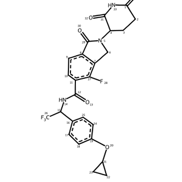 O=C1CCC(N2Cc3c(ccc(C(=O)NC(c4ccc(OC5CC5)cc4)C(F)(F)F)c3F)C2=O)C(=O)N1